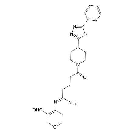 N/C(CCCC(=O)N1CCC(c2nnc(-c3ccccc3)o2)CC1)=N\C1=C(C=O)COCC1